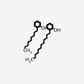 CCCCCCCCCCCCc1ccccc1O.CCCCCCCCCc1ccccc1O